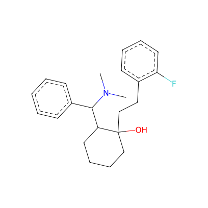 CN(C)C(c1ccccc1)C1CCCCC1(O)CCc1ccccc1F